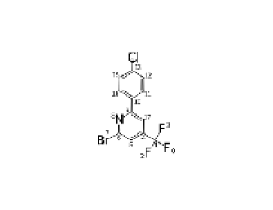 FC(F)(F)c1cc(Br)nc(-c2ccc(Cl)cc2)c1